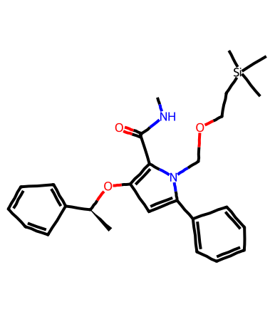 CNC(=O)c1c(O[C@@H](C)c2ccccc2)cc(-c2ccccc2)n1COCC[Si](C)(C)C